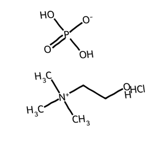 C[N+](C)(C)CCO.Cl.O=P([O-])(O)O